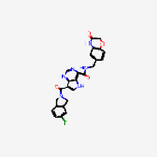 O=C1COc2ccc(CNC(=O)c3ncnc4c(C(=O)N5Cc6ccc(F)cc6C5)c[nH]c34)cc2N1